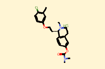 Cc1cc(OCC[C@@H]2c3ccc(OC(=O)N(C)C)cc3CCN2C)ccc1Cl.Cl